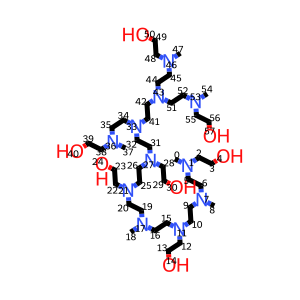 CN(CCO)CCN(C)CCN(CCO)CCN(C)CCN(CCO)CCN(CCO)CCN(CCN(C)CCO)CCN(CCN(C)CCO)CCN(C)CCO